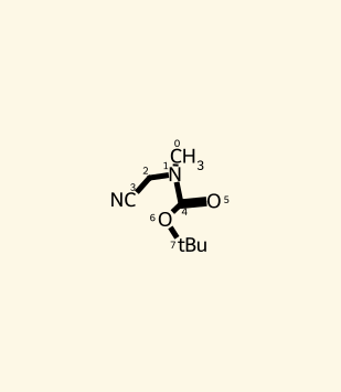 CN(CC#N)C(=O)OC(C)(C)C